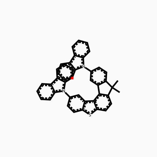 CC1(C)c2ccc(-n3c4ccccc4c4ccccc43)cc2-c2c1ccc1sc3ccc(-n4c5ccccc5c5ccccc54)cc3c21